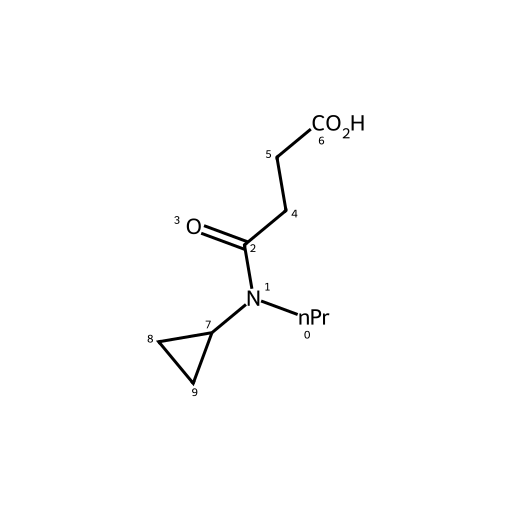 CCCN(C(=O)CCC(=O)O)C1CC1